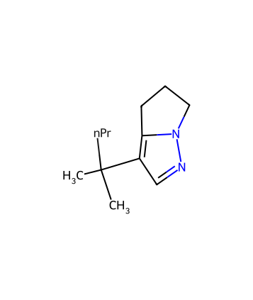 CCCC(C)(C)c1cnn2c1CCC2